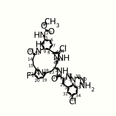 COC(=O)Nc1ccc2c(c1)NC(=O)CCc1nc(ccc1F)CC(NC(=O)/C=C/c1cc(Cl)ccc1N(N)/C=N\N)c1nc-2c(Cl)[nH]1